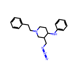 [N-]=[N+]=NCC1CN(CCc2ccccc2)CCC1Nc1ccccc1